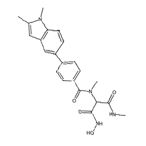 CNC(=O)C(C(=O)NO)N(C)C(=O)c1ccc(-c2ccc3c(c2)cc(C)n3C)cc1